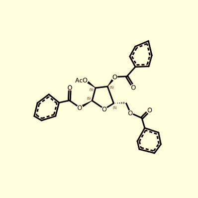 CC(=O)O[C@@H]1[C@H](OC(=O)c2ccccc2)O[C@@H](COC(=O)c2ccccc2)[C@@H]1OC(=O)c1ccccc1